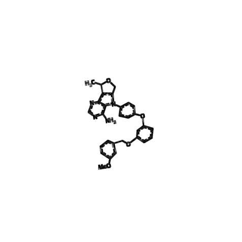 COc1cccc(COc2cccc(Oc3ccc(-n4c5c(c6ncnc(N)c64)C(C)OC5)cc3)c2)c1